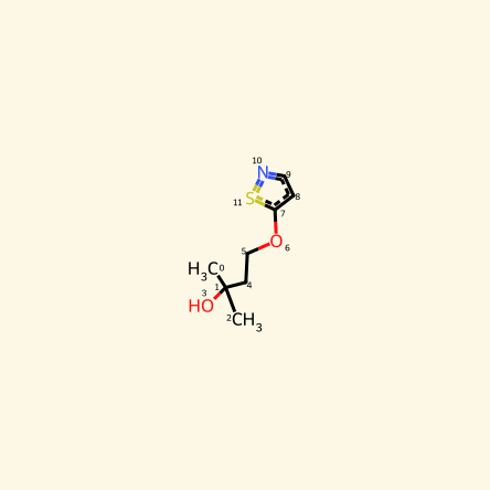 CC(C)(O)CCOc1ccns1